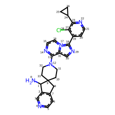 NC1c2cnccc2CC12CCN(c1nccn3c(-c4ccnc(C5CC5)c4Cl)ncc13)CC2